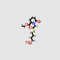 CCOC(=O)C1CCCC(=O)N1CCSCCCCO